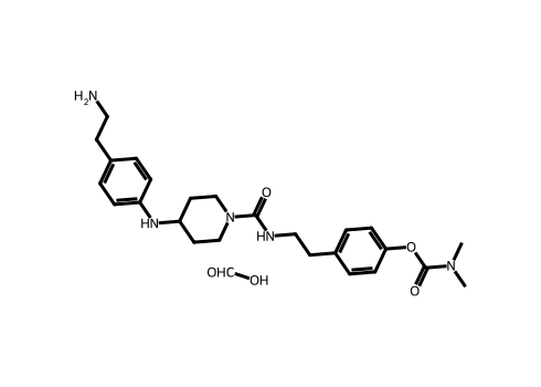 CN(C)C(=O)Oc1ccc(CCNC(=O)N2CCC(Nc3ccc(CCN)cc3)CC2)cc1.O=CO